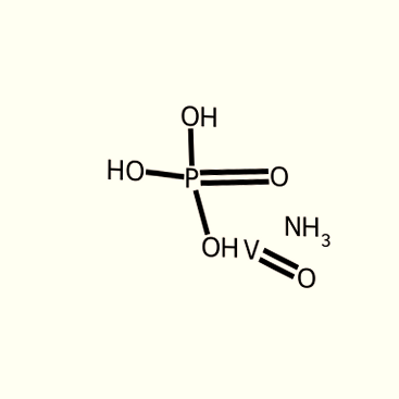 N.O=P(O)(O)O.[O]=[V]